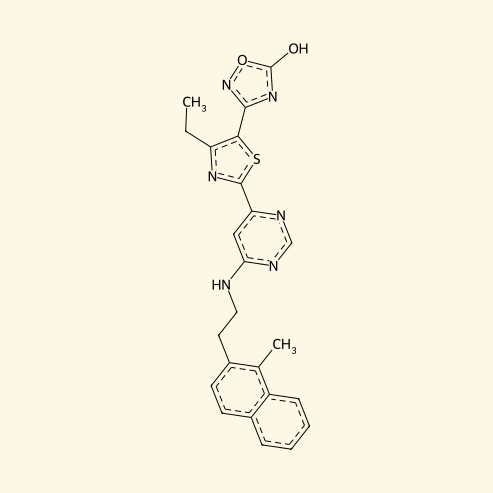 CCc1nc(-c2cc(NCCc3ccc4ccccc4c3C)ncn2)sc1-c1noc(O)n1